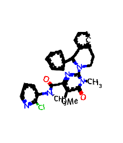 COc1c(C(=O)N(C)c2cccnc2Cl)nc(N2CCc3ccccc3C2c2ccccc2)n(C)c1=O